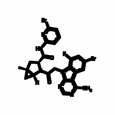 C[C@@]12C[C@@H](C(=O)Nc3cccc(Br)n3)N(C(=O)Cn3c4ncnc(N)c4c4cc(Br)cc(F)c43)[C@@H]1C2